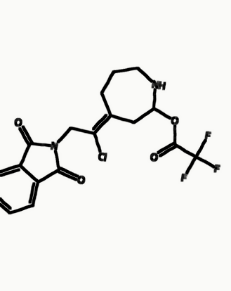 O=C1c2ccccc2C(=O)N1C/C(Cl)=C1\CCCNC(OC(=O)C(F)(F)F)C1